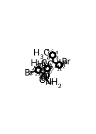 C=C(c1cccc(C)c1)c1cccc(Br)c1.Cc1cccc(C2(c3cccc(Br)c3)COC(N)=N2)c1